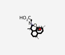 C[C@@H]1CCC2[C@@H](C)/C(=N/CC(=O)O)O[C@@H]3O[C@]4(C)CCC1C23OO4